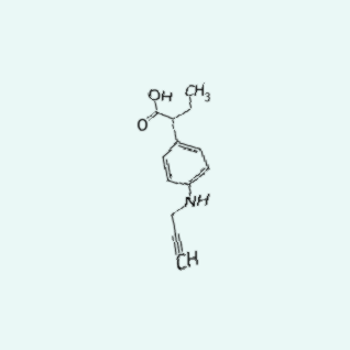 C#CCNc1ccc(C(CC)C(=O)O)cc1